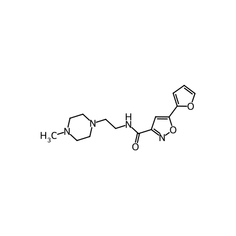 CN1CCN(CCNC(=O)c2cc(-c3ccco3)on2)CC1